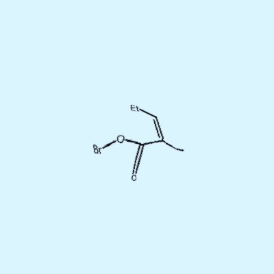 CCC=C(C)C(=O)OBr